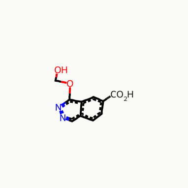 O=C(O)c1ccc2cnnc(OCO)c2c1